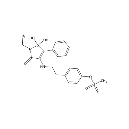 CC(C)CN1C(=O)C(NCCc2ccc(OS(C)(=O)=O)cc2)=C(c2ccccc2)S1(O)O